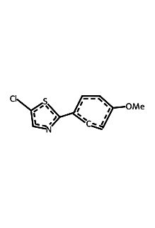 COc1ccc(-c2ncc(Cl)s2)cc1